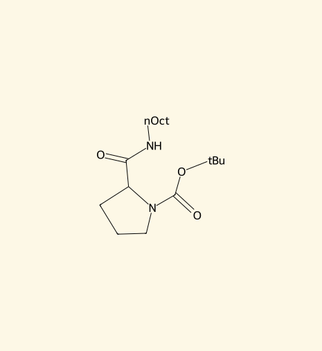 CCCCCCCCNC(=O)C1CCCN1C(=O)OC(C)(C)C